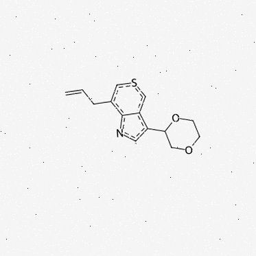 C=CCc1cscc2c(C3COCCO3)[c]nc1-2